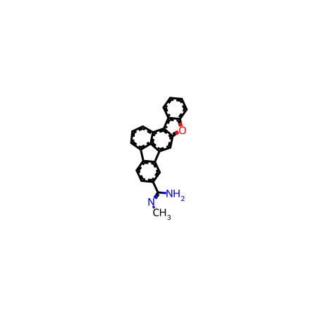 C/N=C(\N)c1ccc2c(c1)-c1cc3oc4ccccc4c3c3cccc-2c13